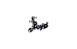 C=C(/C=C\C=C(/CF)NS(=O)(=O)c1cc(F)ccc1F)c1nc(N2CCOCC2)sc1-c1ccnc(NCCO)n1